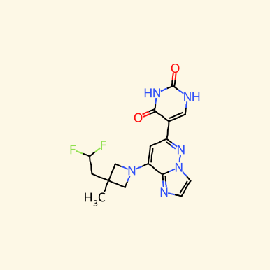 CC1(CC(F)F)CN(c2cc(-c3c[nH]c(=O)[nH]c3=O)nn3ccnc23)C1